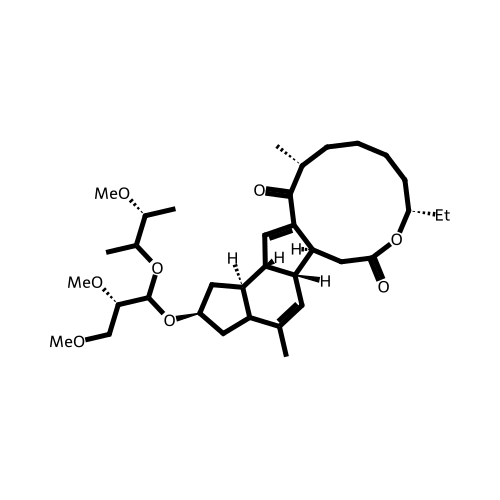 CC[C@H]1CCCC[C@@H](C)C(=O)C2=C[C@@H]3[C@@H](C=C(C)C4C[C@@H](OC(OC(C)[C@@H](C)OC)[C@H](COC)OC)C[C@H]43)[C@@H]2CC(=O)O1